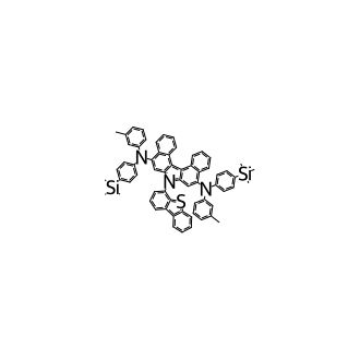 Cc1cccc(N(c2ccc([Si](C)(C)C)cc2)c2cc3c(c4ccccc24)c2c4ccccc4c(N(c4ccc([Si](C)(C)C)cc4)c4cccc(C)c4)cc2n3-c2cccc3c2sc2ccccc23)c1